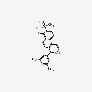 Cc1cc(C)cc(C2NC=Cc3c2ccc2c(F)c([Si](C)(C)C)ccc32)c1